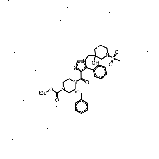 CC(C)(C)OC(=O)N1CCN(C(=O)c2ncn(CC3(O)CCCN(S(C)(=O)=O)C3)c2-c2ccccc2)[C@H](Cc2ccccc2)C1